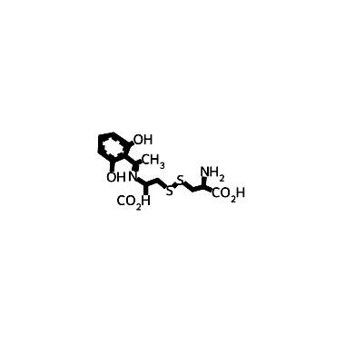 C/C(=N\C(CSSCC(N)C(=O)O)C(=O)O)c1c(O)cccc1O